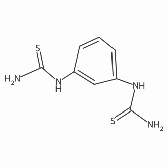 NC(=S)Nc1cccc(NC(N)=S)c1